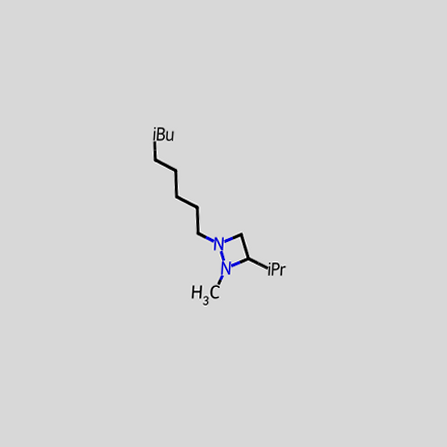 CCC(C)CCCCCN1CC(C(C)C)N1C